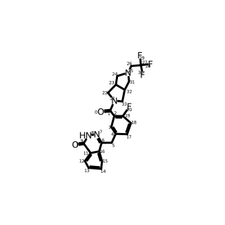 O=C(c1cc(Cc2n[nH]c(=O)c3ccccc23)ccc1F)N1CC2CN(CC(F)(F)F)CC2C1